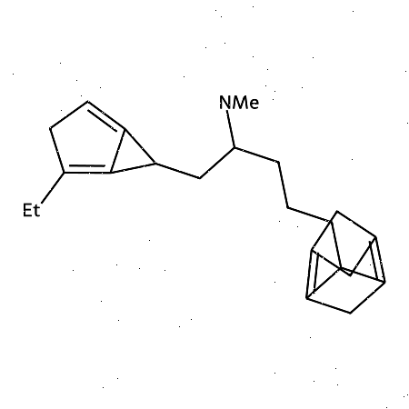 CCC1=C2C(=CC1)C2CC(CCCC1C2=C3CC(=C1C2)C3)NC